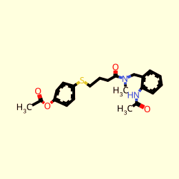 CC(=O)Nc1ccccc1CN(C)C(=O)CCCSc1ccc(OC(C)=O)cc1